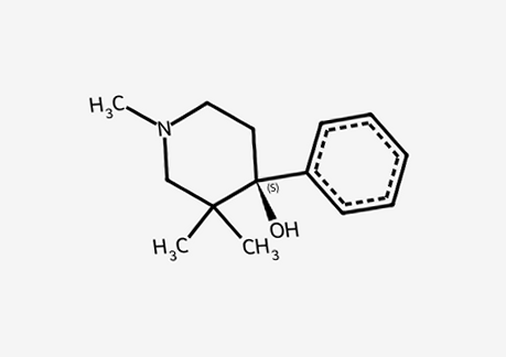 CN1CC[C@](O)(c2ccccc2)C(C)(C)C1